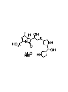 C[C@@H]1C=C(C(=O)O)N2C(=O)[C@H]([C@@H](O)CS[C@@H]3CN[C@H]([C@H](O)[C@@H]4CCNC4)C3)[C@H]12.Cl.O